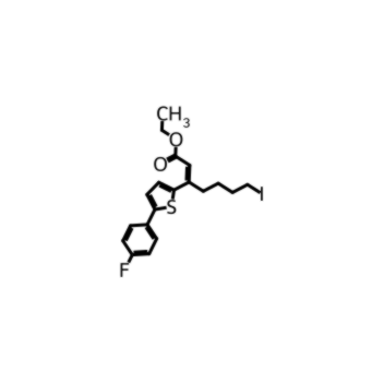 CCOC(=O)/C=C(/CCCCI)c1ccc(-c2ccc(F)cc2)s1